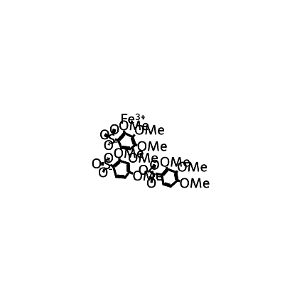 COc1ccc(S(=O)(=O)[O-])c(OC)c1OC.COc1ccc(S(=O)(=O)[O-])c(OC)c1OC.COc1ccc(S(=O)(=O)[O-])c(OC)c1OC.[Fe+3]